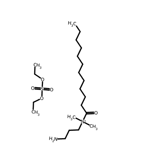 CCCCCCCCCCCC(=O)[N+](C)(C)CCCN.CCOS(=O)(=O)OCC